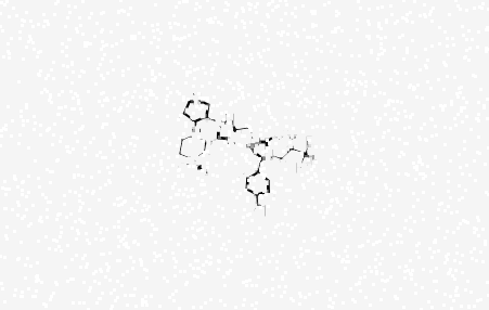 O=c1n(Cc2ncn(-c3cnccc3N3CCS(=O)(=O)CC3)n2)nc(-c2ccc(Cl)cc2)n1C[C@H](O)C(F)(F)F